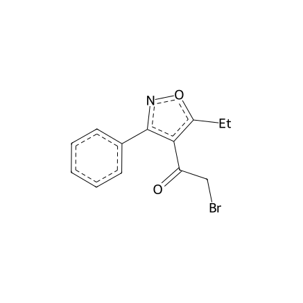 CCc1onc(-c2ccccc2)c1C(=O)CBr